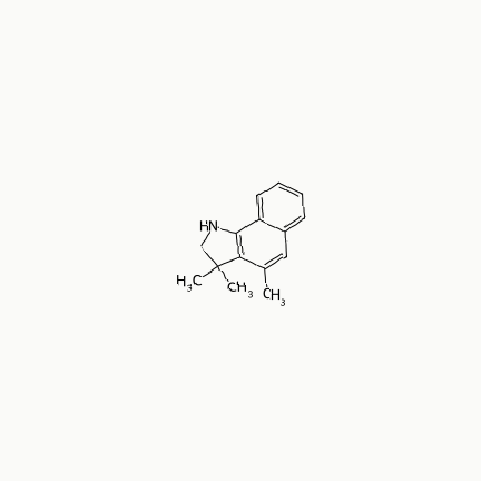 Cc1cc2ccccc2c2c1C(C)(C)CN2